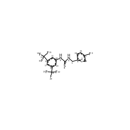 Fc1ccc(CNC(=S)Nc2cc(C(F)(F)F)cc(C(F)(F)F)c2)cc1